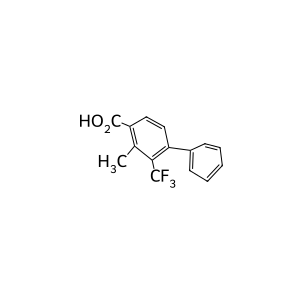 Cc1c(C(=O)O)ccc(-c2ccccc2)c1C(F)(F)F